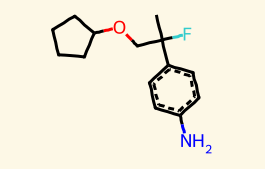 CC(F)(COC1CCCC1)c1ccc(N)cc1